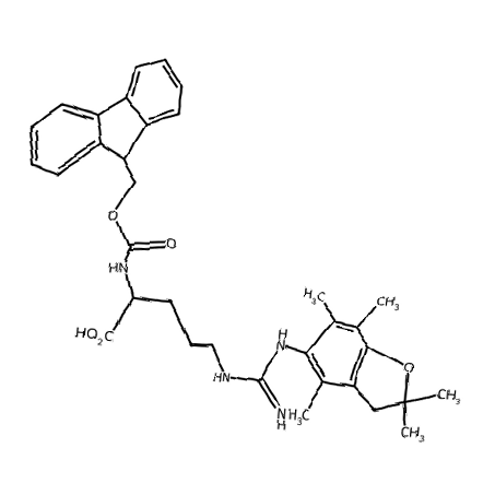 Cc1c(C)c2c(c(C)c1NC(=N)NCCCC(NC(=O)OCC1c3ccccc3-c3ccccc31)C(=O)O)CC(C)(C)O2